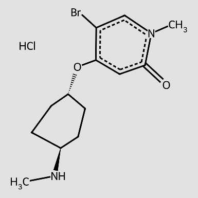 CN[C@H]1CC[C@H](Oc2cc(=O)n(C)cc2Br)CC1.Cl